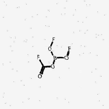 O=C(F)OB(OF)OF